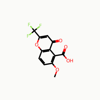 COc1ccc2oc(C(F)(F)F)cc(=O)c2c1C(=O)O